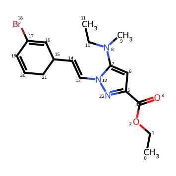 CCOC(=O)c1cc(N(C)CC)n(/C=C/C2C=C(Br)C=CC2)n1